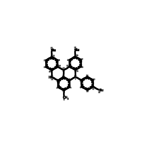 Cc1cc2c3c(c1)N(c1ccc(C(C)(C)C)cc1)c1ccc(C(C)(C)C)cc1B3c1cc(C(C)(C)C)ccc1N2